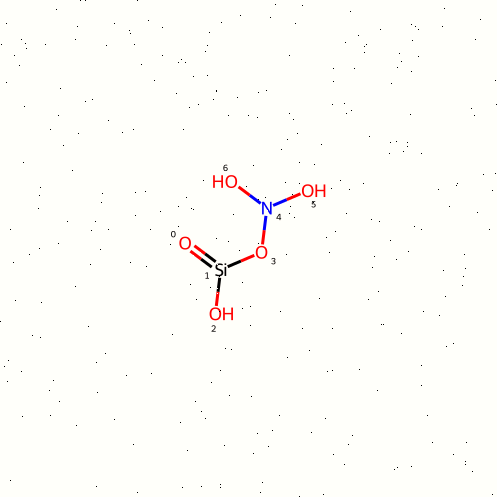 O=[Si](O)ON(O)O